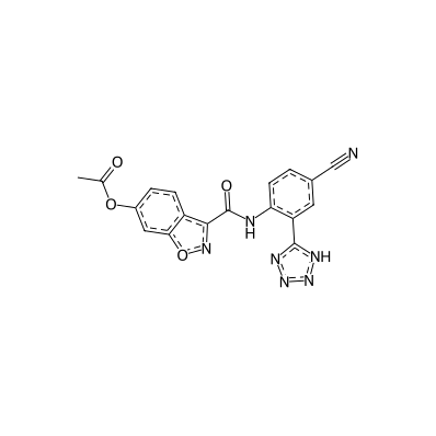 CC(=O)Oc1ccc2c(C(=O)Nc3ccc(C#N)cc3-c3nnn[nH]3)noc2c1